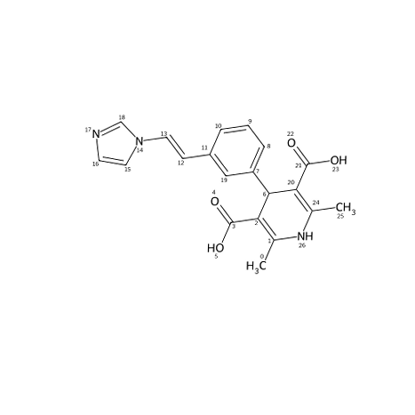 CC1=C(C(=O)O)C(c2cccc(C=Cn3ccnc3)c2)C(C(=O)O)=C(C)N1